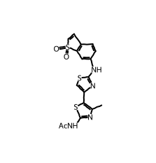 CC(=O)Nc1nc(C)c(-c2csc(Nc3ccc4c(c3)S(=O)(=O)C=C4)n2)s1